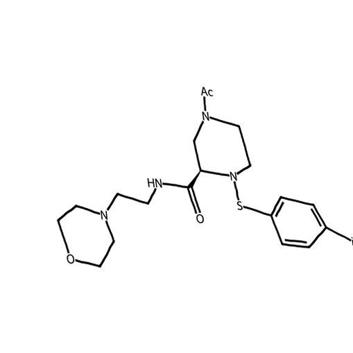 CC(=O)N1CCN(Sc2ccc(C(C)C)cc2)[C@@H](C(=O)NCCN2CCOCC2)C1